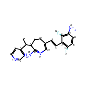 CC(c1ccncc1)C1CCC(C=Cc2c(F)ccc(N)c2F)=CN=C1N